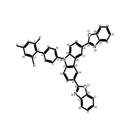 Cc1cc(C)c(-c2ccc(-n3c4ccc(-c5nc6ccccc6o5)cc4c4cc(-c5nc6ccccc6o5)ccc43)cc2)c(C)c1